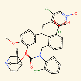 COc1ccc([C@H](Cc2c(Cl)c[n+]([O-])cc2Cl)c2c(CN(C(=O)O[C@H]3CN4CCC3CC4)c3ccccc3Cl)cccc2C(=O)O)cc1OC